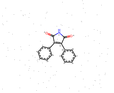 O=C1NC(=O)C(c2ccccc2)=C1c1ccccc1